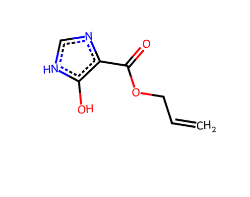 C=CCOC(=O)c1nc[nH]c1O